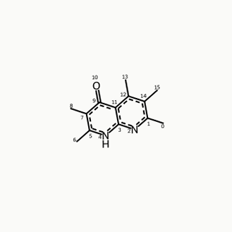 Cc1nc2[nH]c(C)c(C)c(=O)c2c(C)c1C